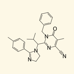 Cc1ccc(C2=NCCN2C(c2nc(C#N)c(C)c(=O)n2Cc2ccccc2)C(C)C)cc1